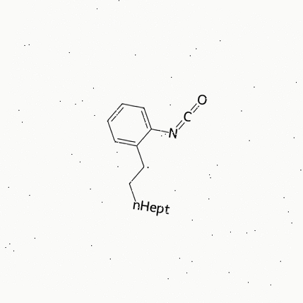 CCCCCCCC[CH]c1ccccc1N=C=O